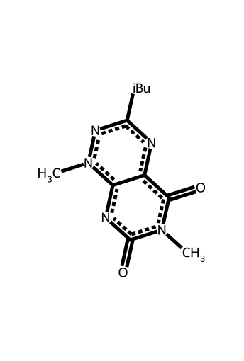 CCC(C)c1nc2c(=O)n(C)c(=O)nc-2n(C)n1